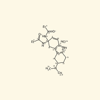 CCC(=O)NC1(NC(=O)CC)C=Cc2[nH]c3c(c2C1)CC(N(C)C)CC3.Cl